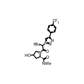 CNC(=O)[C@H]1CC(O)CN1C(=O)C(n1cc(-c2ccc(C(F)(F)F)cc2)nn1)C(C)(C)C